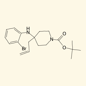 C=CCC1(Nc2ccccc2Br)CCN(C(=O)OC(C)(C)C)CC1